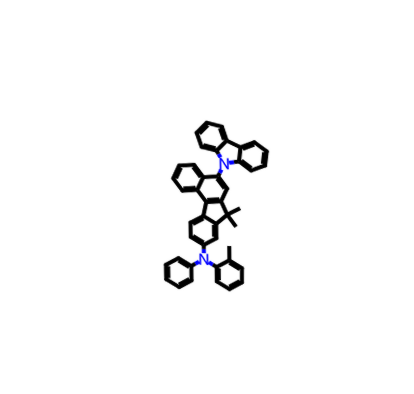 Cc1ccccc1N(c1ccccc1)c1ccc2c(c1)C(C)(C)c1cc(-n3c4ccccc4c4ccccc43)c3ccccc3c1-2